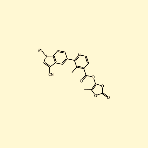 Cc1oc(=O)oc1OC(=O)c1ccnc(-c2ccc3c(c2)c(C#N)cn3C(C)C)c1C